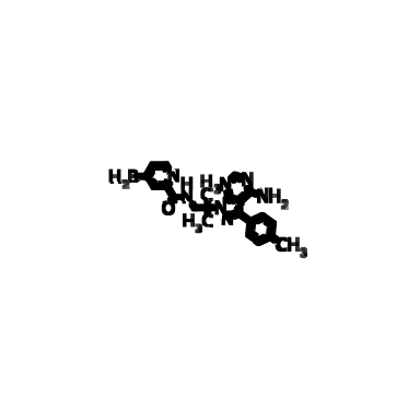 Bc1ccnc(C(=O)NCC(C)(C)n2nc(-c3ccc(C)cc3)c3c(N)ncnc32)c1